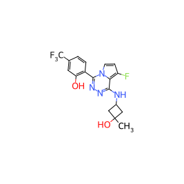 CC1(O)CC(Nc2nnc(-c3ccc(C(F)(F)F)cc3O)n3ccc(F)c23)C1